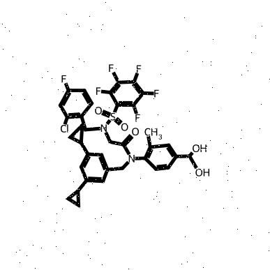 Cc1cc(C(O)O)ccc1N(Cc1cc(C2CC2)cc(C2CC2)c1)C(=O)CN(Cc1ccc(F)cc1Cl)S(=O)(=O)c1c(F)c(F)c(F)c(F)c1F